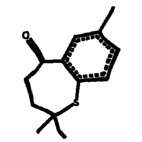 Cc1ccc2c(c1)C(=O)CCC(C)(C)S2